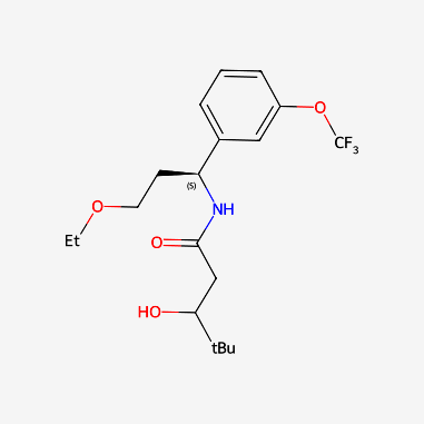 CCOCC[C@H](NC(=O)CC(O)C(C)(C)C)c1cccc(OC(F)(F)F)c1